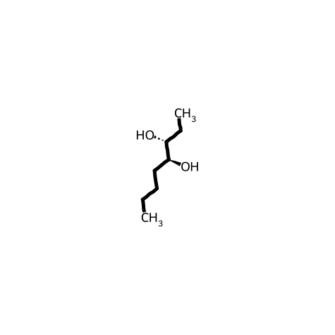 CCCC[C@H](O)[C@H](O)CC